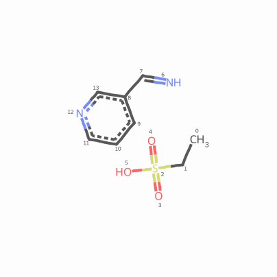 CCS(=O)(=O)O.N=Cc1cccnc1